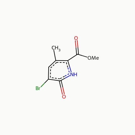 COC(=O)c1[nH]c(=O)c(Br)cc1C